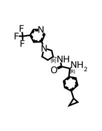 N[C@@H](C(=O)N[C@@H]1CCN(c2cncc(C(F)(F)F)c2)C1)c1ccc(C2CC2)cc1